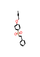 CC#CCOc1ccc(S(=O)(=O)C=Cc2ccccc2)cc1